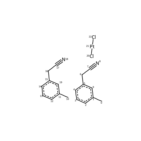 Cc1cccc(CC#N)c1.Cc1cccc(CC#N)c1.[Cl][Pt][Cl]